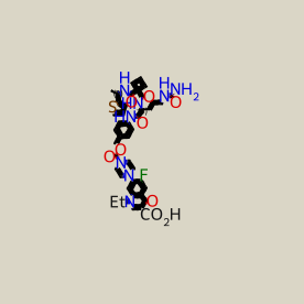 CCn1cc(C(=O)O)c(=O)c2cc(F)c(N3CCN(C(=O)OCc4ccc(NC(=O)[C@H](CCCNC(N)=O)NC(=O)C5(C(=O)N[C@H](C)c6cccs6)CCC5)cc4)CC3)cc21